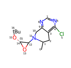 CC1Cc2c(Cl)ncnc2CN1C1O[C@@H]1OC(C)(C)C